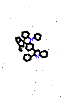 c1ccc(-c2nc3ccccc3cc2-c2ccc3c(c2)N(c2ccccc2)c2ccccc2C32c3ccccc3-c3ccccc32)cc1